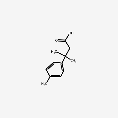 Cc1ccc(C(C)(C)CC(=O)O)cc1